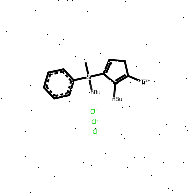 CCCCC1=[C]([Ti+3])CC=C1[Si](C)(CCCC)c1ccccc1.[Cl-].[Cl-].[Cl-]